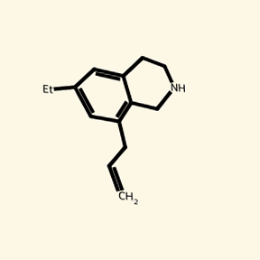 C=CCc1cc(CC)cc2c1CNCC2